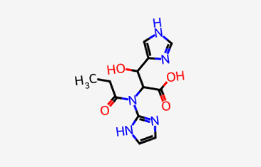 CCC(=O)N(c1ncc[nH]1)C(C(=O)O)C(O)c1c[nH]cn1